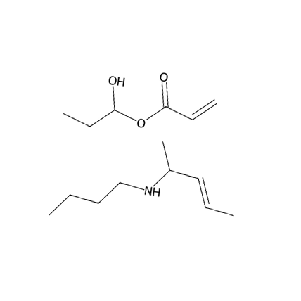 C=CC(=O)OC(O)CC.CC=CC(C)NCCCC